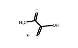 CC(=O)C(=O)O.[Er]